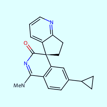 CNC1=NC(=O)[C@@]2(CCc3ncccc32)c2cc(C3CC3)ccc21